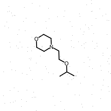 [CH2]C(C)OCCN1CCOCC1